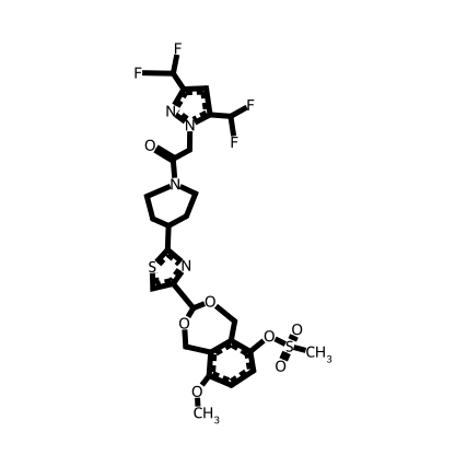 COc1ccc(OS(C)(=O)=O)c2c1COC(c1csc(C3CCN(C(=O)Cn4nc(C(F)F)cc4C(F)F)CC3)n1)OC2